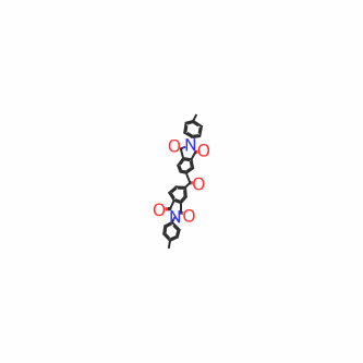 Cc1ccc(N2C(=O)c3ccc(C(=O)c4ccc5c(c4)C(=O)N(c4ccc(C)cc4)C5=O)cc3C2=O)cc1